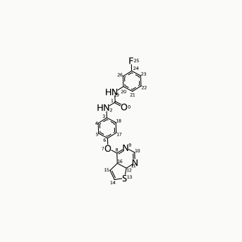 O=C(Nc1ccc(OC2=NC=NC3SC=CC23)cc1)Nc1cccc(F)c1